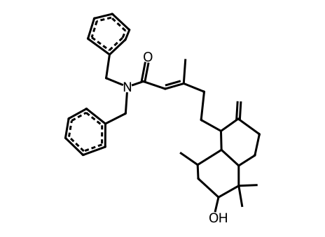 C=C1CCC2C(C(C)CC(O)C2(C)C)C1CCC(C)=CC(=O)N(Cc1ccccc1)Cc1ccccc1